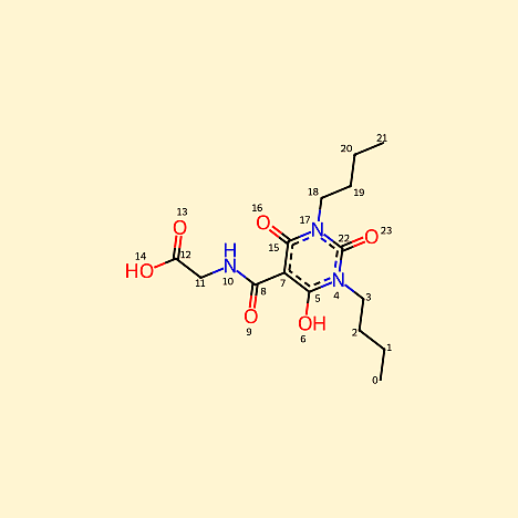 CCCCn1c(O)c(C(=O)NCC(=O)O)c(=O)n(CCCC)c1=O